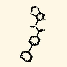 CN(C(=O)c1ccc(-c2ccccc2)cc1)c1[nH]cc2c1OCO2